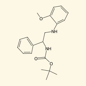 COc1ccccc1NCC(NC(=O)OC(C)(C)C)c1ccccc1